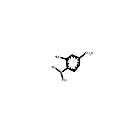 Cc1cc(C(=O)O)ccc1B(O)O